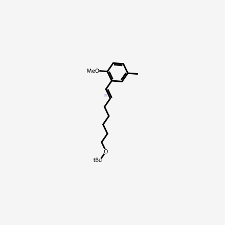 COc1ccc(C)cc1/C=C/CCCCCOC(C)(C)C